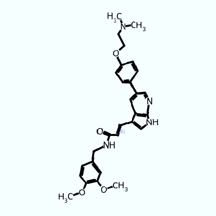 COc1ccc(CNC(=O)/C=C/c2c[nH]c3ncc(-c4ccc(OCCN(C)C)cc4)cc23)cc1OC